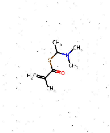 C=C(C)C(=O)SC(C)N(C)C